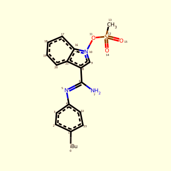 CCC(C)c1ccc(N=C(N)c2cn(OS(C)(=O)=O)c3ccccc23)cc1